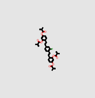 C=C(C)C(=O)Oc1ccc(/C=C/c2ccc(/C=C/c3ccc(OC(=O)C(=C)C)cc3OC(=O)C(=C)C)c(F)c2)c(OC(=O)C(=C)C)c1